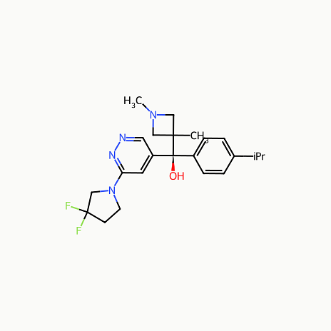 CC(C)c1ccc([C@](O)(c2cnnc(N3CCC(F)(F)C3)c2)C2(C)CN(C)C2)cc1